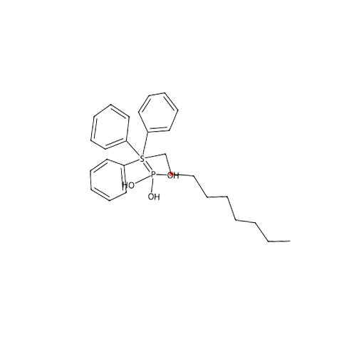 CCCCCCCCCS(c1ccccc1)(c1ccccc1)(c1ccccc1)=P(O)(O)O